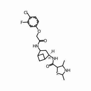 CC1NC(C)C(C(=O)N[C@@H]2CC(NC(=O)COc3ccc(Cl)c(F)c3)C3CC2C3)S1